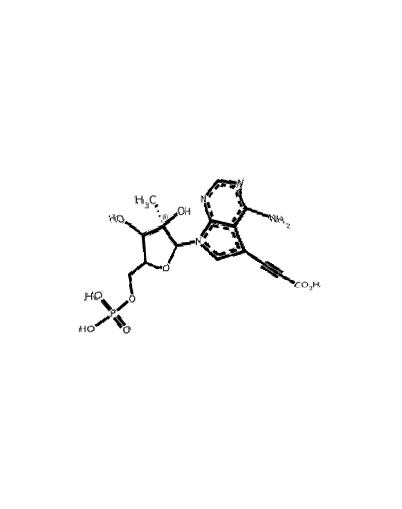 C[C@@]1(O)C(O)C(COP(=O)(O)O)OC1n1cc(C#CC(=O)O)c2c(N)ncnc21